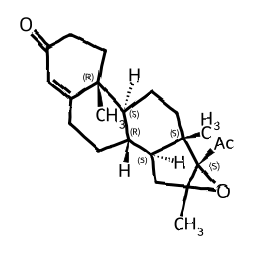 CC(=O)[C@@]12OC1(C)C[C@H]1[C@@H]3CCC4=CC(=O)CC[C@]4(C)[C@H]3CC[C@@]12C